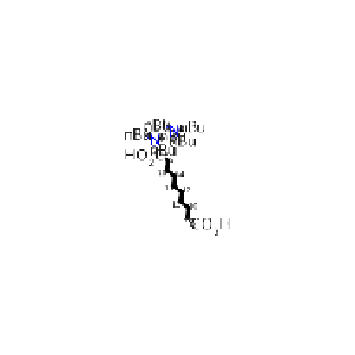 CCCCN(CCCC)CCCC.CCCCN(CCCC)CCCC.O=C(O)CCCCCCCCC(=O)O